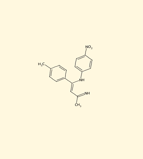 CC(=N)/C=C(\Nc1ccc([N+](=O)[O-])cc1)c1ccc(C)cc1